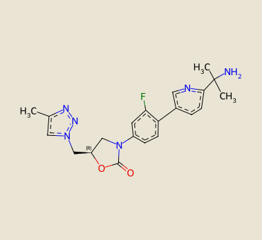 Cc1cn(C[C@H]2CN(c3ccc(-c4ccc(C(C)(C)N)nc4)c(F)c3)C(=O)O2)nn1